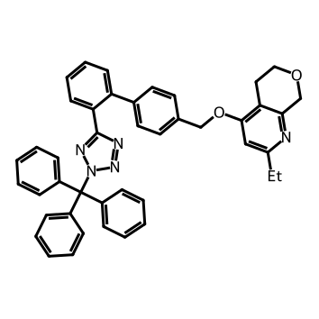 CCc1cc(OCc2ccc(-c3ccccc3-c3nnn(C(c4ccccc4)(c4ccccc4)c4ccccc4)n3)cc2)c2c(n1)COCC2